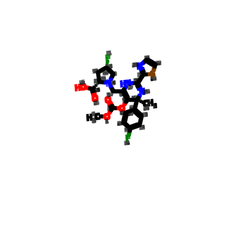 COC(=O)OC1=C(CN2C[C@@H](F)C[C@H]2C(=O)O)NC(c2nccs2)=N[C@@]1(C)c1ccc(F)cc1